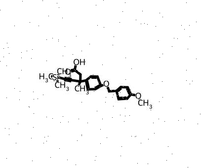 COc1ccc(COc2ccc(C(C)(C#C[Si](C)(C)C)CC(=O)O)cc2)cc1